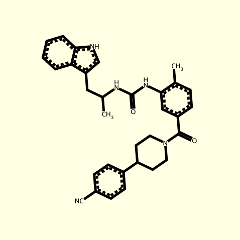 Cc1ccc(C(=O)N2CCC(c3ccc(C#N)cc3)CC2)cc1NC(=O)NC(C)Cc1c[nH]c2ccccc12